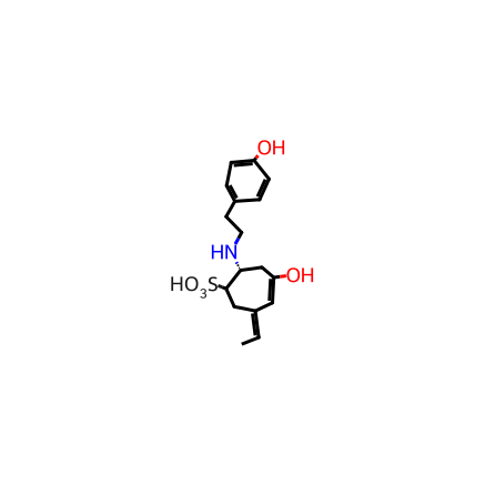 C/C=C1/C=C(O)C[C@@H](NCCc2ccc(O)cc2)C(S(=O)(=O)O)C1